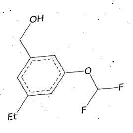 CCc1cc(CO)cc(OC(F)F)c1